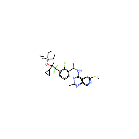 CC[Si](CC)(CC)OC(C)(C1CC1)C(F)(F)c1cccc([C@@H](C)Nc2nc(C)nc3cnc(SC)cc23)c1F